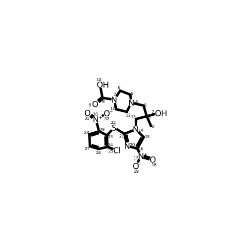 CC(O)(CN1CCN(C(=O)O)CC1)Cn1cc([N+](=O)[O-])nc1Sc1c(Cl)cccc1[N+](=O)[O-]